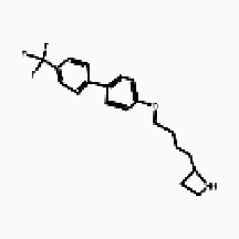 FC(F)(F)c1ccc(-c2ccc(OCCCCC3CCN3)cc2)cc1